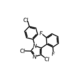 Fc1cccc(F)c1-c1c(Cl)nc(Cl)n1-c1ccc(Cl)cc1